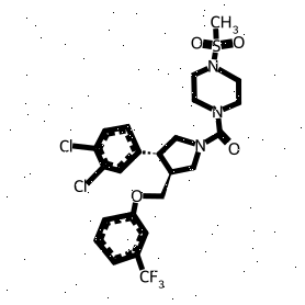 CS(=O)(=O)N1CCN(C(=O)N2C[C@@H](COc3cccc(C(F)(F)F)c3)[C@H](c3ccc(Cl)c(Cl)c3)C2)CC1